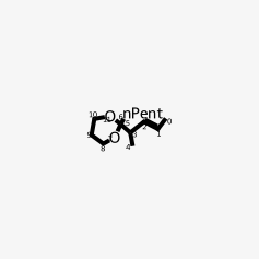 CC=CC(C)C1(CCCCC)OCCCO1